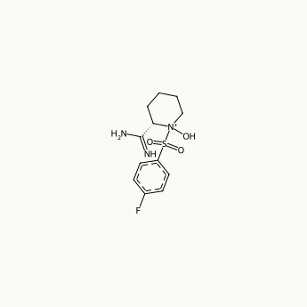 N=C(N)[C@@H]1CCCC[N+]1(O)S(=O)(=O)c1ccc(F)cc1